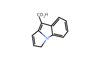 O=C(O)c1c2n(c3ccccc13)CC=C2